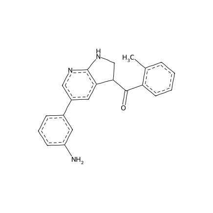 Cc1ccccc1C(=O)C1CNc2ncc(-c3cccc(N)c3)cc21